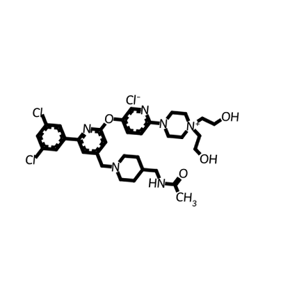 CC(=O)NCC1CCN(Cc2cc(Oc3ccc(N4CC[N+](CCO)(CCO)CC4)nc3)nc(-c3cc(Cl)cc(Cl)c3)c2)CC1.[Cl-]